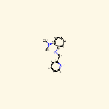 CCN(CC)c1ccccc1N=Cc1ccccn1